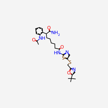 CC(=O)Nc1ccccc1C(CCCCCC(=O)Nc1ncc(SCc2ncc(C(C)(C)C)o2)s1)C(N)=O